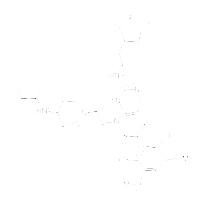 C=CC(=O)NC1CCN(CCn2c(=O)c(-c3c(Cl)c(OC)cc(OC)c3Cl)cc3cnc(NCCC4CCOC4)nc32)CC1